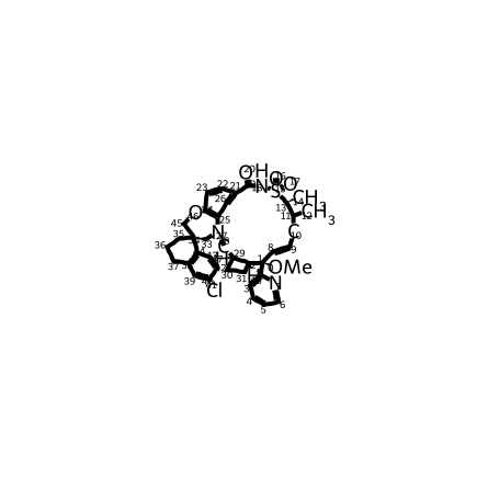 CO[C@@]1(c2ccccn2)/C=C/CC(C)[C@@H](C)S(=O)(=O)NC(=O)c2ccc3c(c2)N(C[C@@H]2CC[C@H]21)C[C@@]1(CCCc2cc(Cl)ccc21)CO3